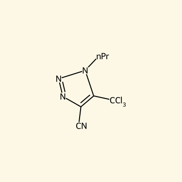 CCCn1nnc(C#N)c1C(Cl)(Cl)Cl